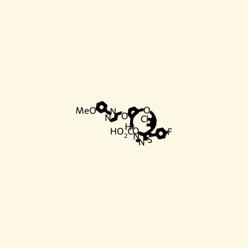 COc1cccc(-c2nccc(COc3ccc4cc3C[C@H](C(=O)O)Oc3ncnc5sc(-c6ccc(F)cc6)c(c35)-c3ccc(c(Cl)c3C)COC4)n2)c1